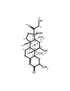 CC1C[C@@]2(C)C(=CC1=O)CC[C@H]1[C@@H]3CC[C@](O)(C(=O)CO)[C@@]3(C)CC(O)[C@@]12F